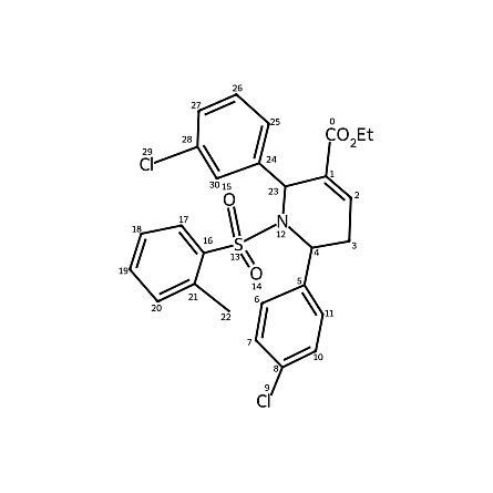 CCOC(=O)C1=CCC(c2ccc(Cl)cc2)N(S(=O)(=O)c2ccccc2C)C1c1cccc(Cl)c1